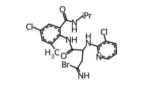 Cc1cc(Cl)cc(C(=O)NC(C)C)c1NC(=O)C(CC(=N)Br)Nc1ncccc1Cl